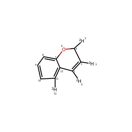 [2H]C1=C([2H])C([2H])Oc2cccc([2H])c21